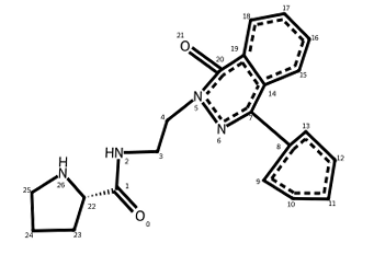 O=C(NCCn1nc(-c2ccccc2)c2ccccc2c1=O)[C@@H]1CCCN1